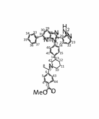 COC(=O)c1ccc(C(C)N2CCCC(c3ccc(-n4c(-c5cccnc5N)nc5ccc(-c6ccccc6)nc54)cc3)C2)cc1